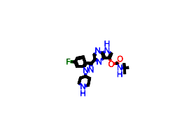 CC(C)(C)NC(=O)Oc1c[nH]c2ncc(-c3nn(C4CCNCC4)c4cc(F)ccc34)nc12